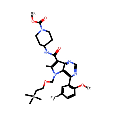 CCOc1ccc(C(F)(F)F)cc1-c1ncnc2c(C(=O)NC3CCN(C(=O)OC(C)(C)C)CC3)c(C)n(COCC[Si](C)(C)C)c12